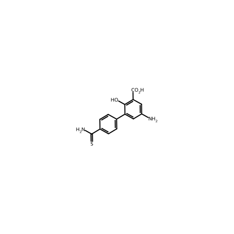 NC(=S)c1ccc(-c2cc(N)cc(C(=O)O)c2O)cc1